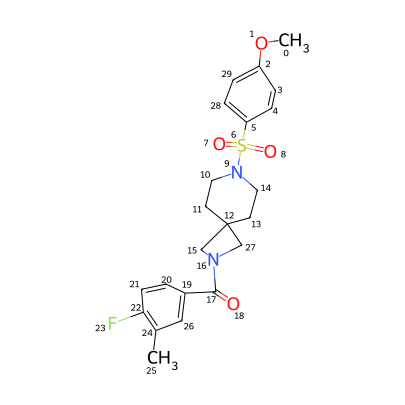 COc1ccc(S(=O)(=O)N2CCC3(CC2)CN(C(=O)c2ccc(F)c(C)c2)C3)cc1